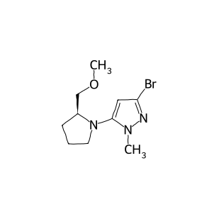 COC[C@@H]1CCCN1c1cc(Br)nn1C